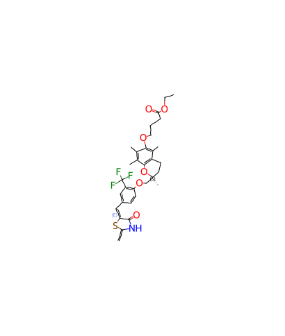 C=c1[nH]c(=O)/c(=C\c2ccc(OC[C@]3(C)CCc4c(C)c(OCCCC(=O)OCC)c(C)c(C)c4O3)c(C(F)(F)F)c2)s1